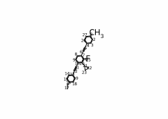 Cc1ccc(C#Cc2ccc(C#Cc3ccc(I)cc3)c(C3CC3)c2F)cc1